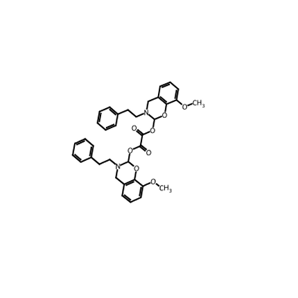 COc1cccc2c1OC(OC(=O)C(=O)OC1Oc3c(cccc3OC)CN1CCc1ccccc1)N(CCc1ccccc1)C2